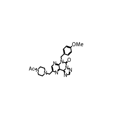 COc1ccc(Cn2c(=O)n3ncnc3c3nc(CN4CCN(C(C)=O)CC4)cnc32)cc1